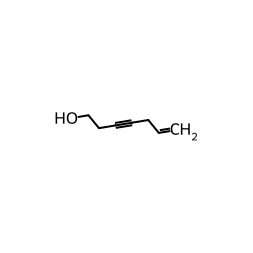 C=CCC#CCCO